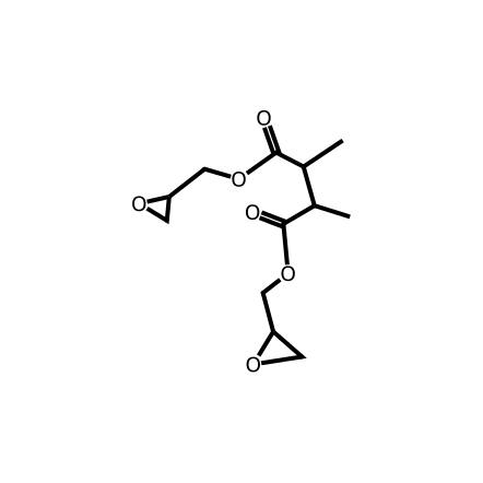 CC(C(=O)OCC1CO1)C(C)C(=O)OCC1CO1